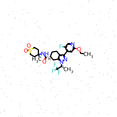 CCOc1cc(-c2nn([C@H](C)C(F)(F)F)c3c2CC[C@@H](C(=O)NC2(C)CCS(=O)(=O)CC2)C3)c(F)cn1